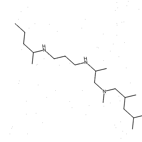 CCCC(C)NCCCNC(C)CN(C)CC(C)CC(C)C